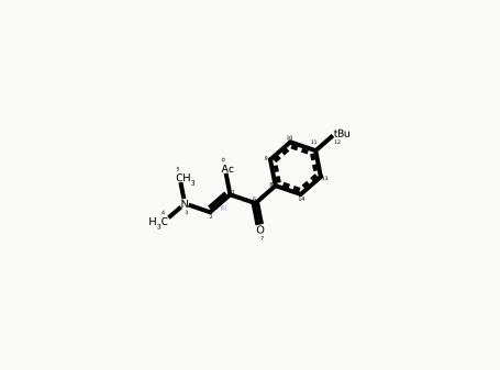 CC(=O)/C(=C\N(C)C)C(=O)c1ccc(C(C)(C)C)cc1